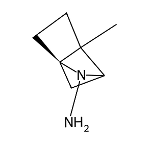 CC12CC[C@@]13CC2N3N